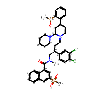 CN(C[C@@H](CCN1CCC(c2ccccc2[S@+](C)[O-])CC1N1CCCCC1)c1ccc(Cl)c(Cl)c1)C(=O)c1cc(S(C)(=O)=O)cc2ccccc12